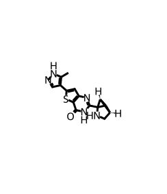 Cc1[nH]ncc1-c1cc2nc(C34NC[C@@H]5C3[C@@H]54)[nH]c(=O)c2s1